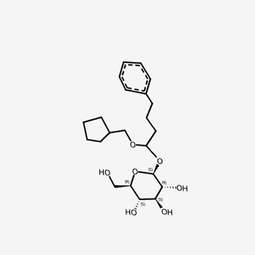 OC[C@H]1O[C@@H](OC(CCCc2ccccc2)OCC2CCCC2)[C@H](O)[C@@H](O)[C@@H]1O